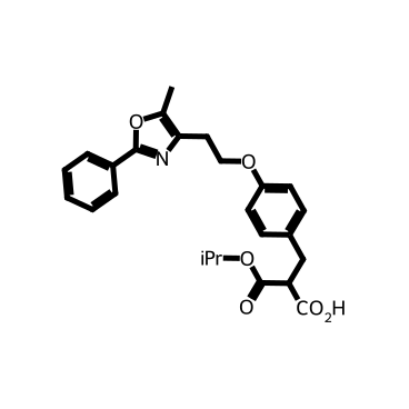 Cc1oc(-c2ccccc2)nc1CCOc1ccc(CC(C(=O)O)C(=O)OC(C)C)cc1